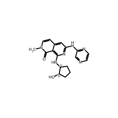 Cn1ccc2cc(Nc3cnccn3)nc(N[C@H]3CCC[C@H]3O)c2c1=O